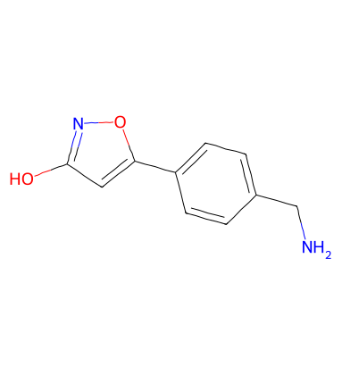 NCc1ccc(-c2cc(O)no2)cc1